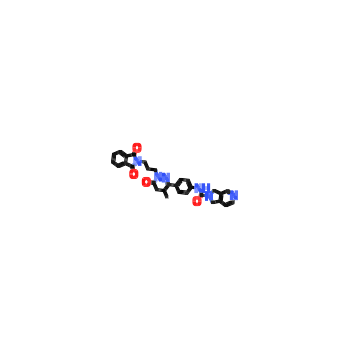 CC1CC(=O)N(CCCN2C(=O)c3ccccc3C2=O)N=C1c1ccc(NC(=O)N2Cc3ccncc3C2)cc1